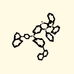 c1ccc(N2c3cc(N(c4ccc(-c5cccc6ccccc56)cc4)c4ccc(-c5cccc6ccccc56)cc4)ccc3Sc3c2n(-c2ccccc2)c2ccccc32)cc1